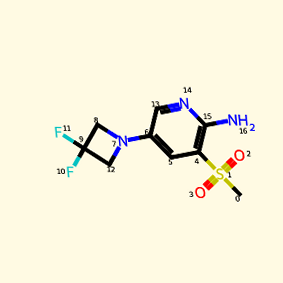 CS(=O)(=O)c1cc(N2CC(F)(F)C2)cnc1N